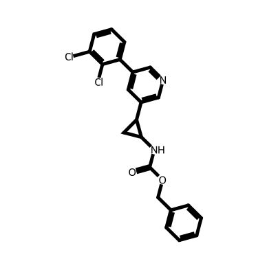 O=C(NC1CC1c1cncc(-c2cccc(Cl)c2Cl)c1)OCc1ccccc1